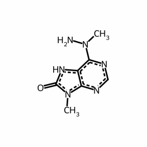 CN(N)c1ncnc2c1[nH]c(=O)n2C